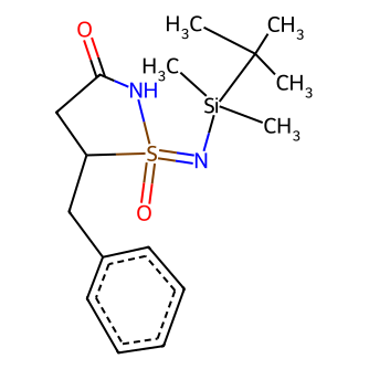 CC(C)(C)[Si](C)(C)N=S1(=O)NC(=O)CC1Cc1ccccc1